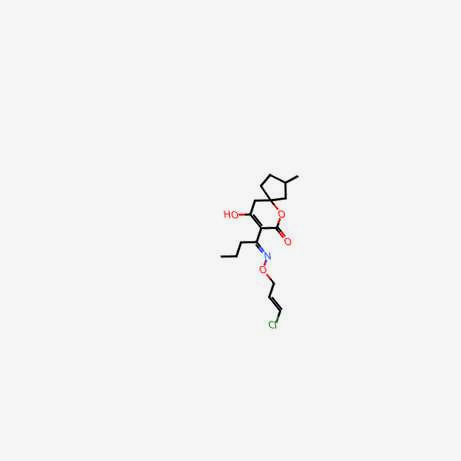 CCCC(=NOCC=CCl)C1=C(O)CC2(CCC(C)C2)OC1=O